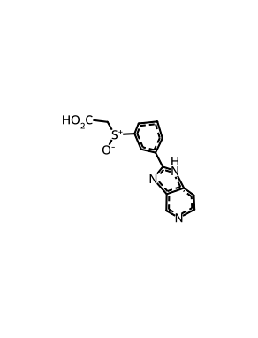 O=C(O)C[S+]([O-])c1cccc(-c2nc3cnccc3[nH]2)c1